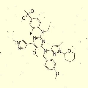 CCN(c1nc(-c2cnn(C)c2)c(OC)c(N(Cc2ccc(OC)cc2)c2cc(C)n(C3CCCCO3)n2)n1)c1ccc(S(C)(=O)=O)cc1F